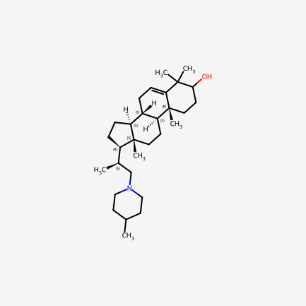 CC1CCN(C[C@@H](C)[C@H]2CC[C@H]3[C@@H]4CC=C5C(C)(C)C(O)CC[C@]5(C)[C@H]4CC[C@]23C)CC1